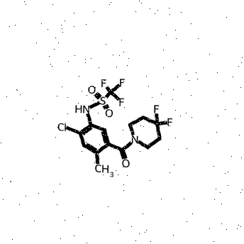 Cc1cc(Cl)c(NS(=O)(=O)C(F)(F)F)cc1C(=O)N1CCC(F)(F)CC1